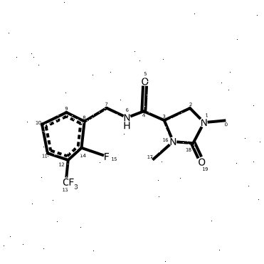 CN1CC(C(=O)NCc2cccc(C(F)(F)F)c2F)N(C)C1=O